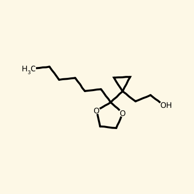 CCCCCCC1(C2(CCO)CC2)OCCO1